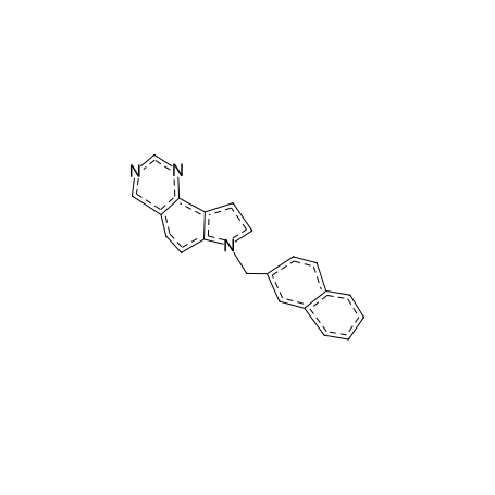 c1ccc2cc(Cn3ccc4c5ncncc5ccc43)ccc2c1